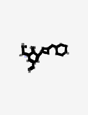 N=C1C(N2CC(CN3CCOCC3)C2)=CC(C=O)=C/C1=N/O